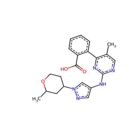 Cc1cnc(Nc2cnn(C3CCOC(C)C3)c2)nc1-c1ccccc1C(=O)O